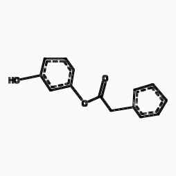 O=C(Cc1ccccc1)Oc1cccc(O)c1